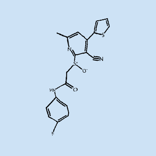 Cc1cc(-c2cccs2)c(C#N)c([S+]([O-])CC(=O)Nc2ccc(F)cc2)n1